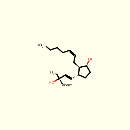 CCCCC[C@](C)(O)/C=C/[C@H]1CC[C@H](O)[C@@H]1C/C=C\CCCC(=O)O